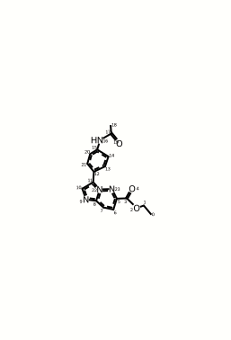 CCOC(=O)c1ccc2ncc(-c3ccc(NC(C)=O)cc3)n2n1